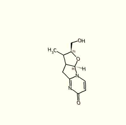 CC1C2Cc3nc(=O)ccn3[C@@H]2O[C@@H]1CO